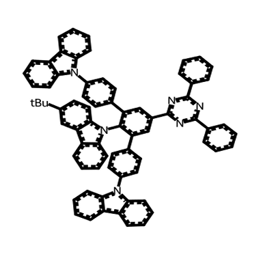 CC(C)(C)c1ccc2c(c1)c1ccccc1n2-c1c(-c2ccc(-n3c4ccccc4c4ccccc43)cc2)cc(-c2nc(-c3ccccc3)nc(-c3ccccc3)n2)cc1-c1ccc(-n2c3ccccc3c3ccccc32)cc1